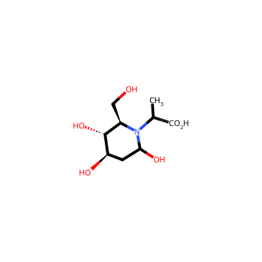 CC(C(=O)O)N1C(O)C[C@@H](O)[C@H](O)[C@H]1CO